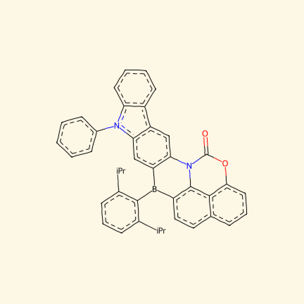 CC(C)c1cccc(C(C)C)c1B1c2cc3c(cc2N2C(=O)Oc4cccc5ccc1c2c45)c1ccccc1n3-c1ccccc1